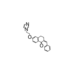 O=C1C(=Cc2ccccc2)CCc2cc(OCCn3ccnc3)ccc21